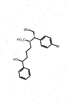 CC(C)(C)C[C@@H](c1ccc(Br)cc1)N(CCCC(O)c1ccccc1)C(=O)O